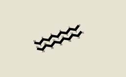 CCCCCCCCCCC.CCCCCCCCCCC